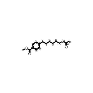 COC(=O)c1ccc(CCCCCCSC(C)=O)cc1